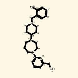 OCc1cccc(N2CCCN(C3CCN(Cc4ccccc4Cl)CC3)CC2)n1